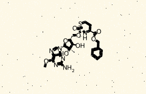 COc1nc(N)nc2c1ncn2[C@@H]1O[C@H](COP2(=O)N[C@H](C(=O)OCc3ccccc3)CCS2)[C@@H](O)[C@@]1(C)O